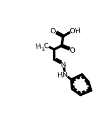 CC(C=NNc1ccccc1)C(=O)C(=O)O